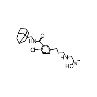 C[C@@H](O)CNCCCc1ccc(Cl)c(C(=O)NCC23CC4CC(CC(C4)C2)C3)c1